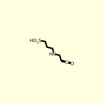 O=C=CCNCCCS(=O)(=O)O